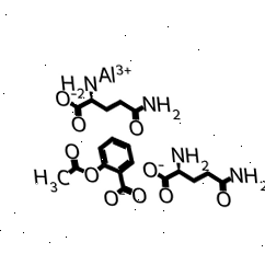 CC(=O)Oc1ccccc1C(=O)[O-].NC(=O)CC[C@H](N)C(=O)[O-].NC(=O)CC[C@H](N)C(=O)[O-].[Al+3]